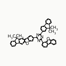 CC1(C)c2ccccc2-c2ccc(-c3nc(-c4ccc5c(c4)oc4cc6c(cc45)C(C)(C)c4ccccc4-6)nc(-c4cccc5c4oc4ccccc45)n3)cc21